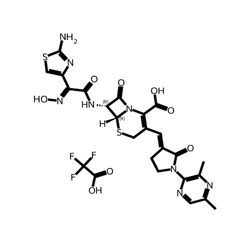 Cc1cnc(N2CCC(=CC3=C(C(=O)O)N4C(=O)[C@@H](NC(=O)C(=NO)c5csc(N)n5)[C@H]4SC3)C2=O)c(C)n1.O=C(O)C(F)(F)F